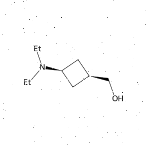 CCN(CC)[C@H]1C[C@@H](CO)C1